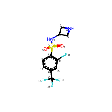 O=S(=O)(NC1CNC1)c1ccc(C(F)(F)F)cc1F